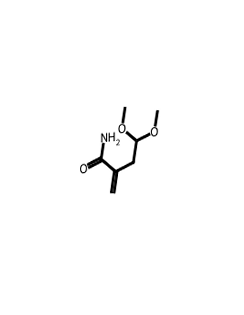 C=C(CC(OC)OC)C(N)=O